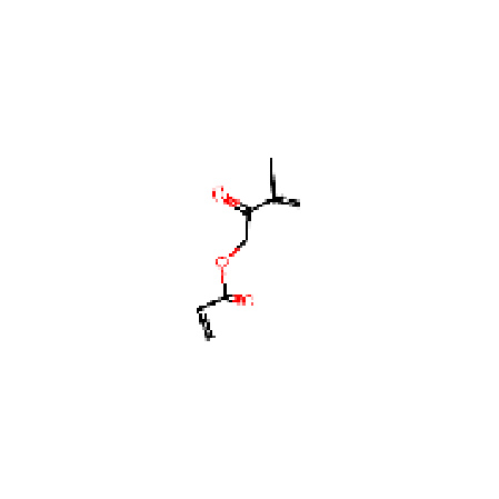 C=CC(=O)OCC(=O)C(=C)C